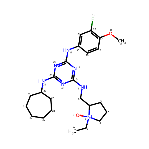 CC[N+]1([O-])CCCC1CNc1nc(Nc2ccc(OC)c(F)c2)nc(NC2CCCCCC2)n1